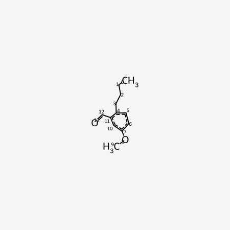 CCCCc1ccc(OC)cc1C=O